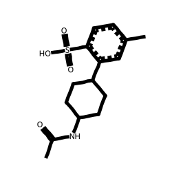 CC(=O)NC1CCC(c2cc(C)ccc2S(=O)(=O)O)CC1